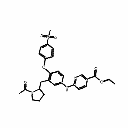 CCOC(=O)c1ccc(Nc2ccc(Oc3ccc(S(C)(=O)=O)cc3)c(CC3CCCN3C(C)=O)c2)nc1